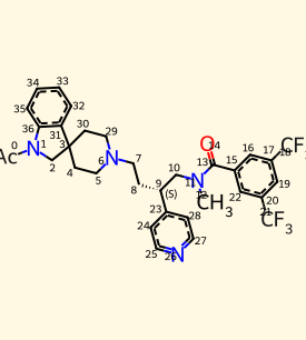 CC(=O)N1CC2(CCN(CC[C@H](CN(C)C(=O)c3cc(C(F)(F)F)cc(C(F)(F)F)c3)c3ccncc3)CC2)c2ccccc21